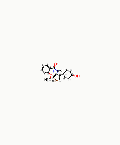 COc1ccccc1C(=O)NC[C@]1(c2ccsc2)CC[C@@H](O)CC1